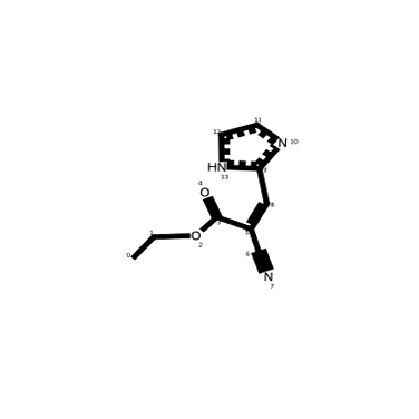 CCOC(=O)C(C#N)=Cc1ncc[nH]1